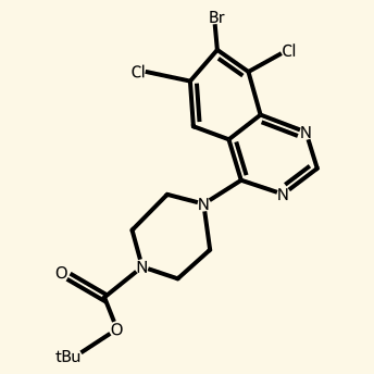 CC(C)(C)OC(=O)N1CCN(c2ncnc3c(Cl)c(Br)c(Cl)cc23)CC1